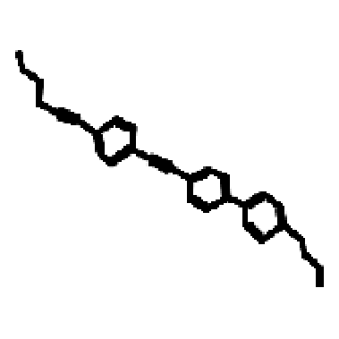 CCCCC#Cc1ccc(C#Cc2ccc(-c3ccc(CCCC)cc3)cc2)cc1